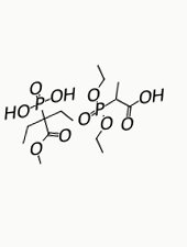 CCC(CC)(C(=O)OC)P(=O)(O)O.CCOP(=O)(OCC)C(C)C(=O)O